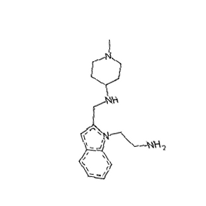 CN1CCC(NCc2cc3ccccc3n2CCN)CC1